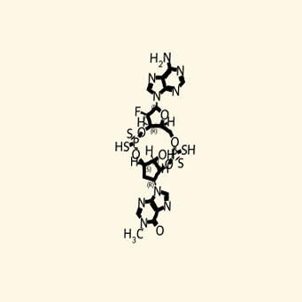 Cn1cnc2c(ncn2[C@@H]2C[C@@H]3OP(=S)(S)O[C@H]4[C@@H](F)[C@H](n5cnc6c(N)ncnc65)O[C@@H]4COP(=S)(S)O[C@@H]2[C@@H]3O)c1=O